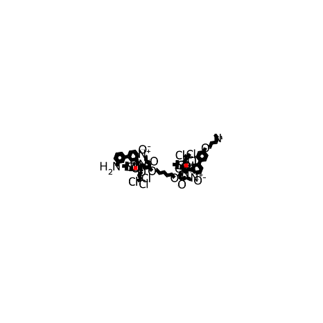 COC1=C2C=[N+]([O-])C3=CC=C(c4ccc(OCCCN(C)C)cc4)C[C@@H]3[C@H](O[Si](C)(C)C(C)(C)C)[N+]2(C(=O)OCC(Cl)(Cl)Cl)C=C1OCCCCCOC1=C[N+]2(C(=O)OCC(Cl)(Cl)Cl)C(=C1OC)C=[N+]([O-])C1=CC=C(c3cccc(N)c3)C[C@@H]1[C@@H]2O[Si](C)(C)C(C)(C)C